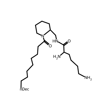 CCCCCCCCCCCCCCCCCC(=O)N1CCCCC1CNC(=O)C(N)CCCCN